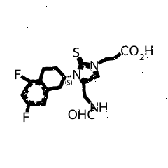 O=CNCc1cn(CCC(=O)O)c(=S)n1[C@H]1CCc2c(F)cc(F)cc2C1